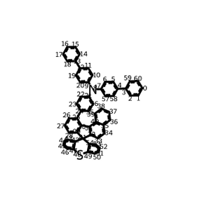 c1ccc(-c2ccc(N(c3ccc(-c4ccccc4)cc3)c3ccc(-c4cccc5c4-c4c(ccc6ccccc46)C54c5ccccc5Sc5ccccc54)cc3)cc2)cc1